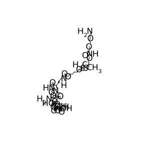 CC(C)(CCOC(=O)NCCOCCOCCN)SSCOCCCCOC(=O)NCC#Cc1cn(C2CO[C@H](COP(=O)(O)OP(=O)(O)OP(=O)(O)O)[C@H]2OCN)c(=O)[nH]c1=O